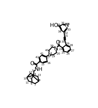 O=C(NCC12CC3CC(CC(C3)C1)C2)c1ccc(N2CCN(C(=O)c3ccccc3C#Cc3cncc(O)c3)CC2)cc1